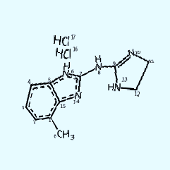 Cc1cccc2[nH]c(NC3=NCCN3)nc12.Cl.Cl